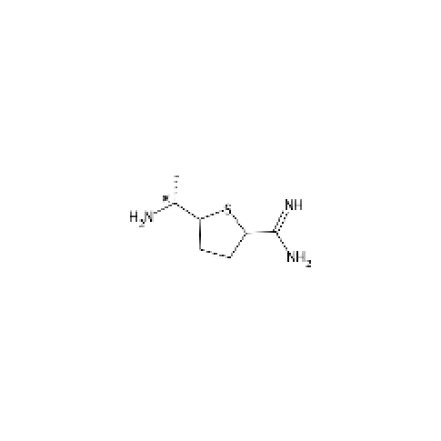 C[C@@H](N)C1CCC(C(=N)N)S1